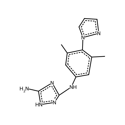 Cc1cc(Nc2n[nH]c(N)n2)cc(C)c1-n1cccn1